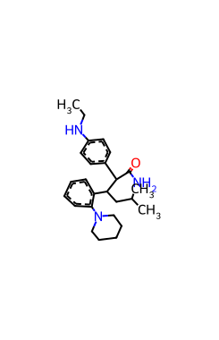 CCNc1ccc(C(C(N)=O)C(CC(C)C)c2ccccc2N2CCCCC2)cc1